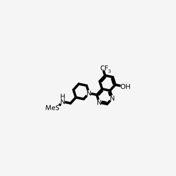 CSNCC1CCCN(c2ncnc3c(O)cc(C(F)(F)F)cc23)C1